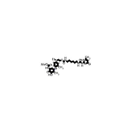 CCN(CCOC(=O)NCCCCCCNC(=O)Nc1nc(=O)cc(C)[nH]1)c1ccc(/N=C2\C=C(NC(=O)OC)C(=O)C(O)=C2C)c(C)c1